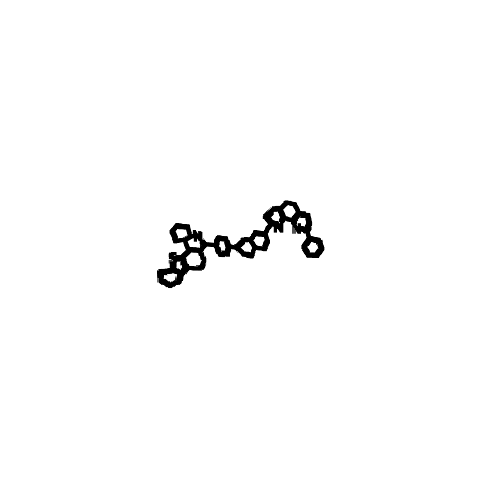 C1=CC2N=C(c3ccc(C4=CC5C=C(c6ccc7c(n6)-c6nc(-c8ccccc8)ccc6CC7)C=CC5C=C4)cc3)C3=C(c4sc5ccccc5c4CC3)C2C=C1